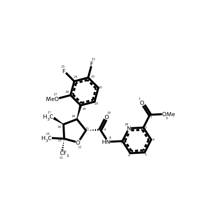 COC(=O)c1cccc(NC(=O)[C@@H]2O[C@](C)(C(F)(F)F)[C@@H](C)[C@H]2c2ccc(F)c(F)c2OC)n1